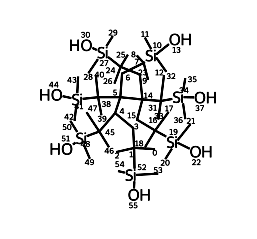 CC(C)(CC(C(CC(C)(C)[Si](C)(C)O)(C(CC(C)(C)[Si](C)(C)O)(CC(C)(C)[Si](C)(C)O)C(C)(C)[Si](C)(C)O)C(C)(C)[Si](C)(C)O)C(C)(C)[Si](C)(C)O)[Si](C)(C)O